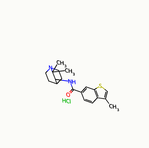 Cc1csc2cc(C(=O)NC3C4CCN(CC4)C3(C)C)ccc12.Cl